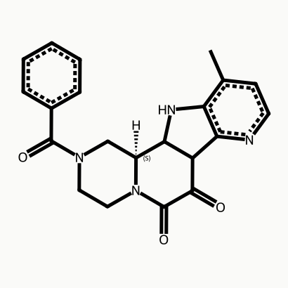 Cc1ccnc2c1NC1C2C(=O)C(=O)N2CCN(C(=O)c3ccccc3)C[C@@H]12